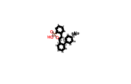 O=S(=O)(O)c1ccccc1C=Cc1ccccc1-c1ccccc1.[Na].[Na]